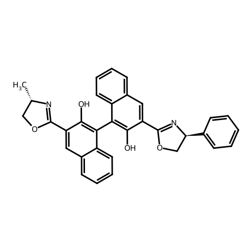 C[C@H]1COC(c2cc3ccccc3c(-c3c(O)c(C4=N[C@@H](c5ccccc5)CO4)cc4ccccc34)c2O)=N1